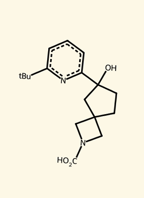 CC(C)(C)c1cccc(C2(O)CCC3(CN(C(=O)O)C3)C2)n1